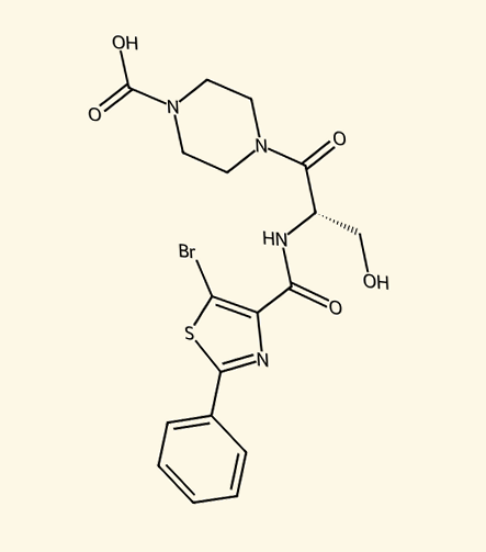 O=C(N[C@@H](CO)C(=O)N1CCN(C(=O)O)CC1)c1nc(-c2ccccc2)sc1Br